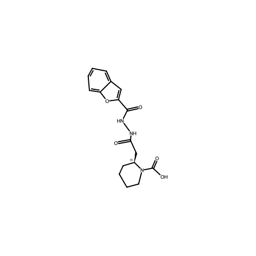 O=C(C[C@@H]1CCCCN1C(=O)O)NNC(=O)c1cc2ccccc2o1